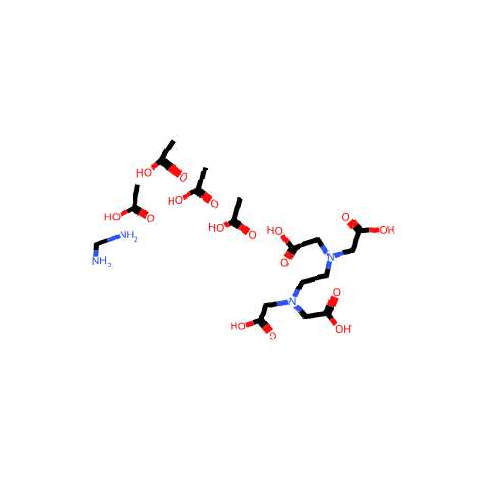 CC(=O)O.CC(=O)O.CC(=O)O.CC(=O)O.NCN.O=C(O)CN(CCN(CC(=O)O)CC(=O)O)CC(=O)O